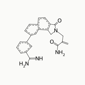 C=C(CN1Cc2c(ccc3ccc(-c4cccc(C(=N)N)c4)cc23)C1=O)C(N)=O